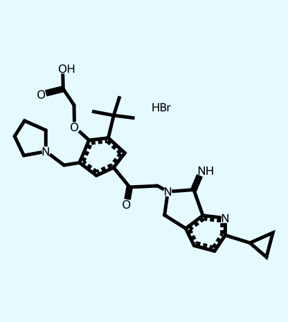 Br.CC(C)(C)c1cc(C(=O)CN2Cc3ccc(C4CC4)nc3C2=N)cc(CN2CCCC2)c1OCC(=O)O